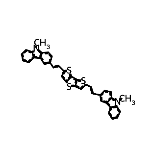 Cn1c2ccccc2c2cc(/C=C/c3cc4sc5cc(/C=C/c6ccc7c(c6)c6ccccc6n7C)sc5c4s3)ccc21